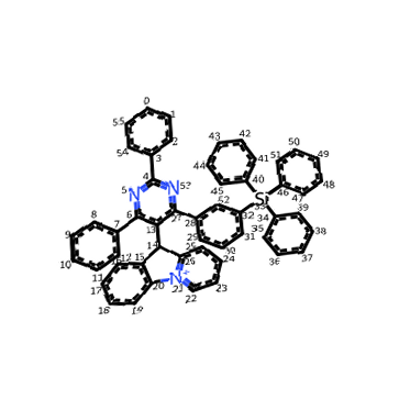 c1ccc(-c2nc(-c3ccccc3)c(C3c4ccccc4-[n+]4ccccc43)c(-c3cccc([Si](c4ccccc4)(c4ccccc4)c4ccccc4)c3)n2)cc1